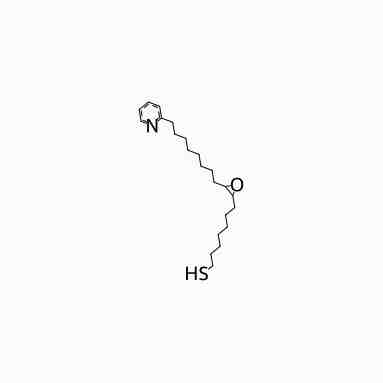 SCCCCCCCC1OC1CCCCCCCCc1ccccn1